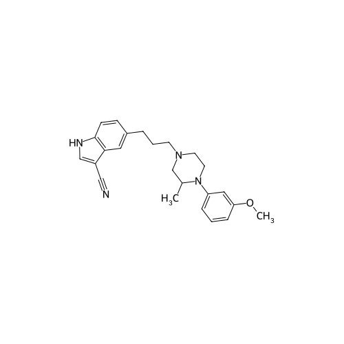 COc1cccc(N2CCN(CCCc3ccc4[nH]cc(C#N)c4c3)CC2C)c1